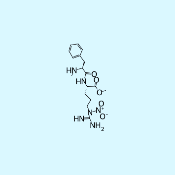 CN[C@@H](Cc1ccccc1)C(=O)N[C@@H](CCCN(C(=N)N)[N+](=O)[O-])C(=O)OC